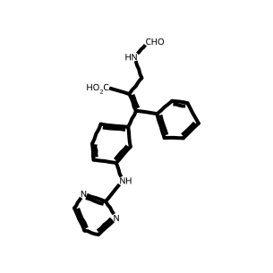 O=CNCC(C(=O)O)=C(c1ccccc1)c1cccc(Nc2ncccn2)c1